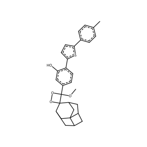 COC1(c2ccc(-c3ccc(-c4ccc(C)cc4)s3)c(O)c2)OOC12C1CC3CC4CC2CC34C1